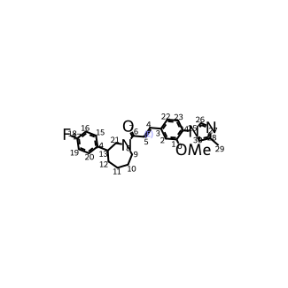 COc1cc(/C=C/C(=O)N2CCCCC(c3ccc(F)cc3)C2)ccc1-n1cnc(C)c1